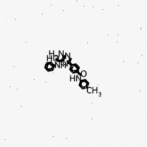 C[C@H]1CC[C@H](NC(=O)c2ccc(-c3cnc(N)c(C(O)Nc4ccccc4)n3)cc2)CC1